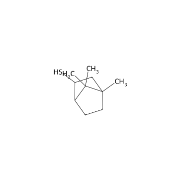 CC12CCC(C(S)C1)C2(C)C